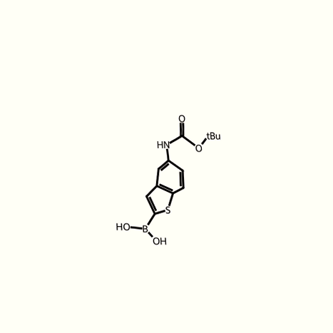 CC(C)(C)OC(=O)Nc1ccc2sc(B(O)O)cc2c1